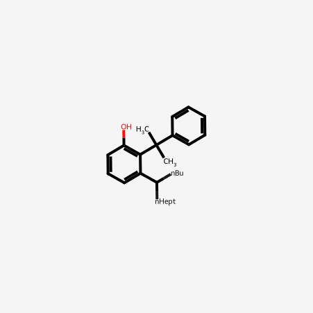 CCCCCCCC(CCCC)c1cccc(O)c1C(C)(C)c1ccccc1